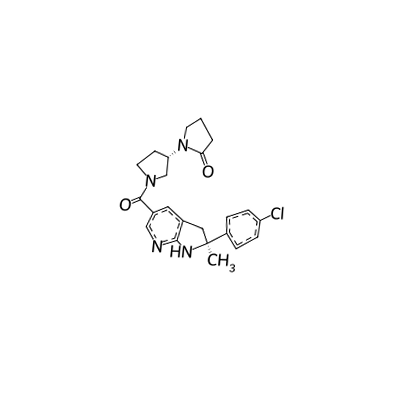 C[C@@]1(c2ccc(Cl)cc2)Cc2cc(C(=O)N3CC[C@H](N4CCCC4=O)C3)cnc2N1